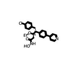 CCO[C@H](CC(=O)NO)[C@H](Cc1ccc(Cl)cc1)c1ccc(-c2ccncc2)cc1